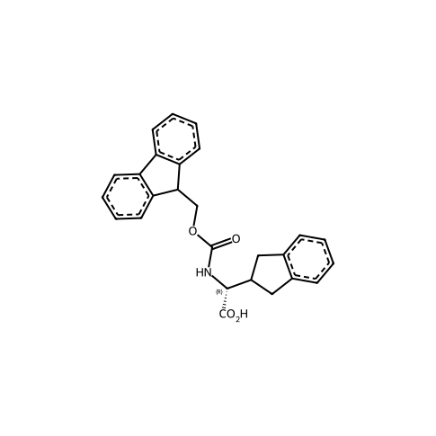 O=C(N[C@@H](C(=O)O)C1Cc2ccccc2C1)OCC1c2ccccc2-c2ccccc21